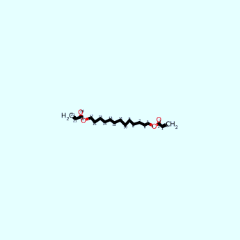 C=CC(=O)OCCCCCCCCCCCCCOC(=O)C=C